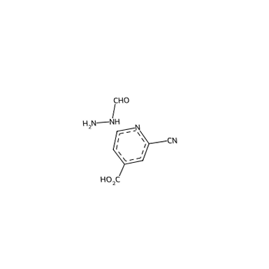 N#Cc1cc(C(=O)O)ccn1.NNC=O